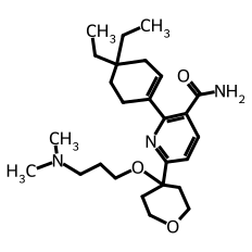 CCC1(CC)CC=C(c2nc(C3(OCCCN(C)C)CCOCC3)ccc2C(N)=O)CC1